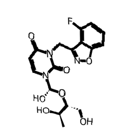 C[C@@H](O)[C@@H](CO)O[C@H](O)n1ccc(=O)n(Cc2noc3cccc(F)c23)c1=O